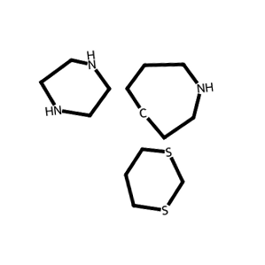 C1CCCNCC1.C1CNCCN1.C1CSCSC1